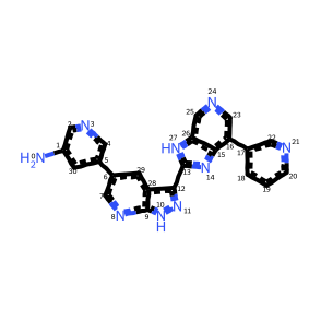 Nc1cncc(-c2cnc3[nH]nc(-c4nc5c(-c6cccnc6)cncc5[nH]4)c3c2)c1